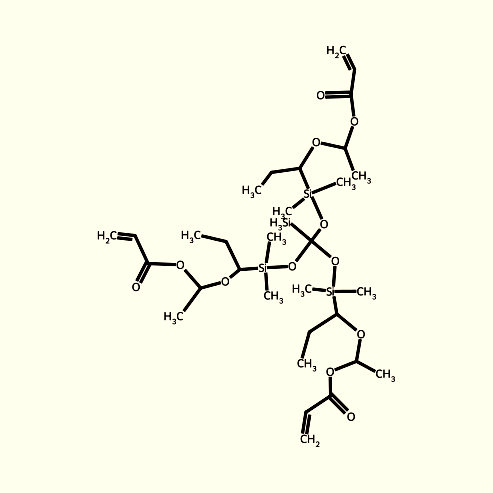 C=CC(=O)OC(C)OC(CC)[Si](C)(C)OC([SiH3])(O[Si](C)(C)C(CC)OC(C)OC(=O)C=C)O[Si](C)(C)C(CC)OC(C)OC(=O)C=C